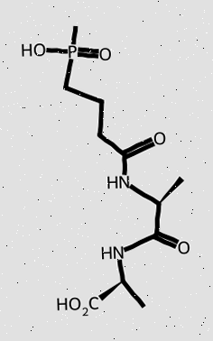 C[C@H](NC(=O)[C@H](C)NC(=O)CCCP(C)(=O)O)C(=O)O